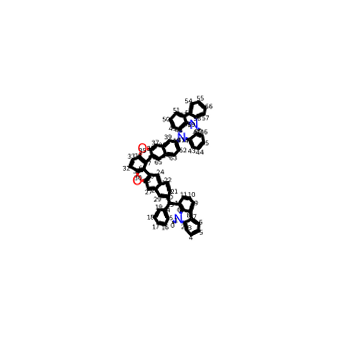 Cn1c2ccccc2c2cccc(C(c3ccccc3)c3ccc4cc5c(cc4c3)oc3ccc4oc6cc7cc(N(c8ccccc8)c8cccc9c%10ccccc%10n(C)c89)ccc7cc6c4c35)c21